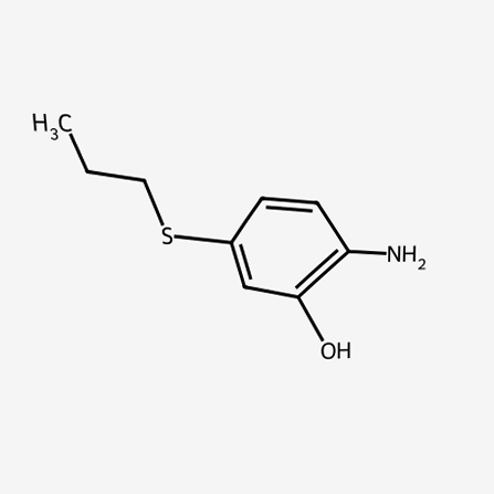 CCCSc1ccc(N)c(O)c1